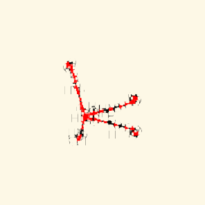 O=C(CCCCCCCNC(=O)CCOCC(COCCC(=O)NCCCCCCCC(=O)NCCOCCOCCOCCC(=O)ON1C(=O)CCC1=O)(COCCC(=O)NCCCCCCCC(=O)NCCOCCOCCOCCC(=O)ON1C(=O)CCC1=O)NC(=O)CCCCCCNC(=O)OCC(Cl)(Cl)Cl)NCCOCCOCCOCCC(=O)ON1C(=O)CCC1=O